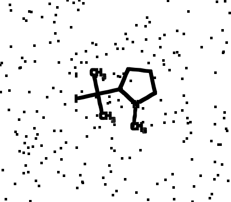 CN1CCCC1C(C)(C)I